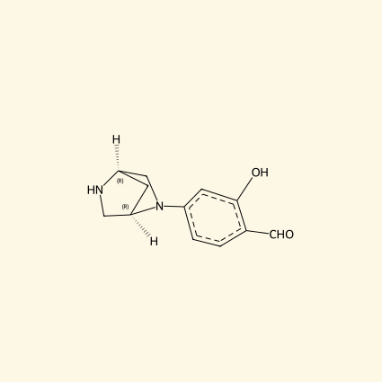 O=Cc1ccc(N2C[C@H]3C[C@@H]2CN3)cc1O